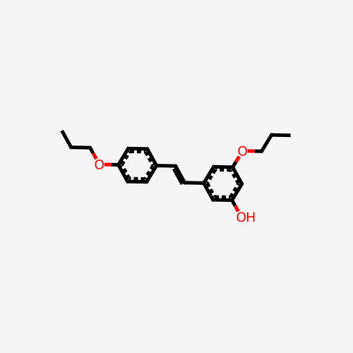 CCCOc1ccc(C=Cc2cc(O)cc(OCCC)c2)cc1